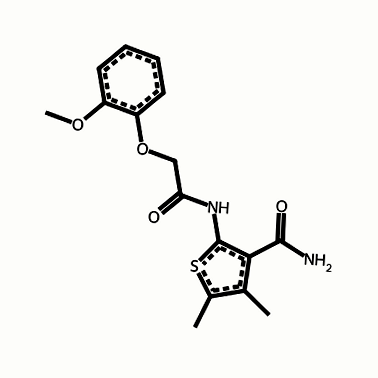 COc1ccccc1OCC(=O)Nc1sc(C)c(C)c1C(N)=O